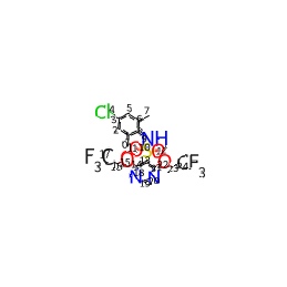 Cc1cc(Cl)cc(C)c1NS(=O)(=O)c1c(OCC(F)(F)F)ncnc1OCC(F)(F)F